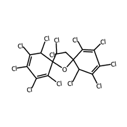 ClCC1(OC2(CCl)C(Cl)=C(Cl)C(Cl)=C(Cl)C2Cl)C(Cl)=C(Cl)C(Cl)=C(Cl)C1Cl